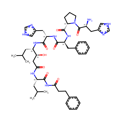 CC(C)C[C@H](NC(=O)C[C@H](O)[C@H](CC(C)C)NC(=O)[C@H](Cc1c[nH]cn1)NC(=O)[C@H](Cc1ccccc1)NC(=O)[C@@H]1CCCN1C(=O)[C@@H](N)Cc1c[nH]cn1)C(=O)NC(=O)CCc1ccccc1